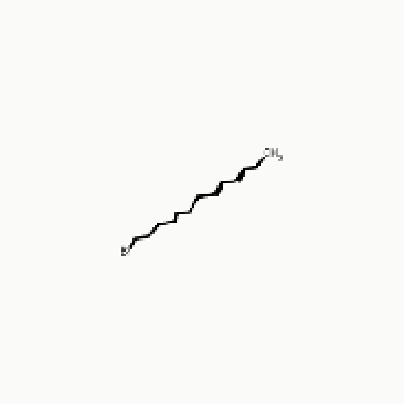 CCC=CC=CCCCCCCCBr